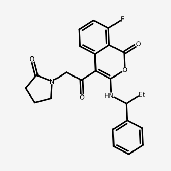 CCC(Nc1oc(=O)c2c(F)cccc2c1C(=O)CN1CCCC1=O)c1ccccc1